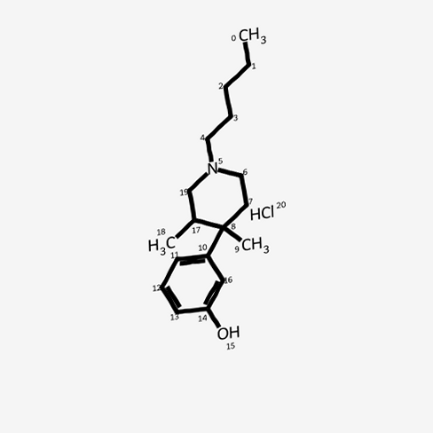 CCCCCN1CCC(C)(c2cccc(O)c2)C(C)C1.Cl